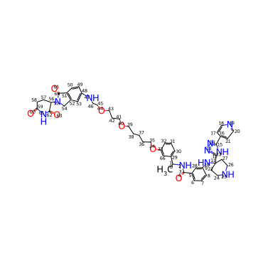 CC(NC(=O)c1cccc(NC2(c3nnc(-c4ccncc4)[nH]3)CCNCC2)c1)c1cccc(OCCCCCOCCCOCCNc2ccc3c(c2)CN(C2CCC(=O)NC2=O)C3=O)c1